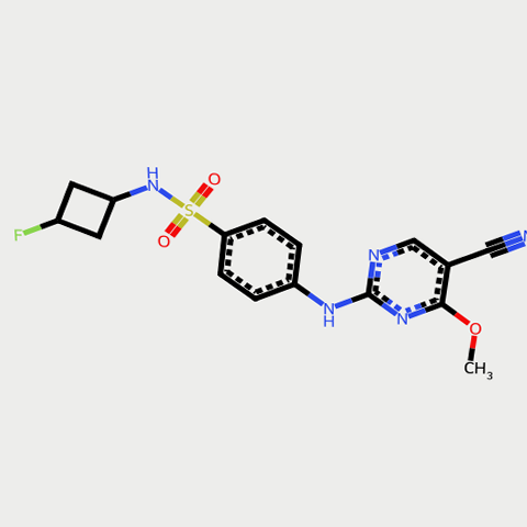 COc1nc(Nc2ccc(S(=O)(=O)NC3CC(F)C3)cc2)ncc1C#N